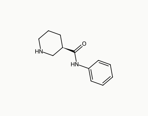 O=C(Nc1ccccc1)[C@@H]1CCCNC1